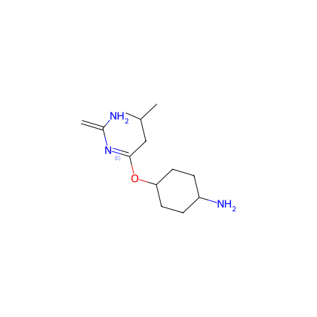 C=C(N)/N=C(\CC(C)C)OC1CCC(N)CC1